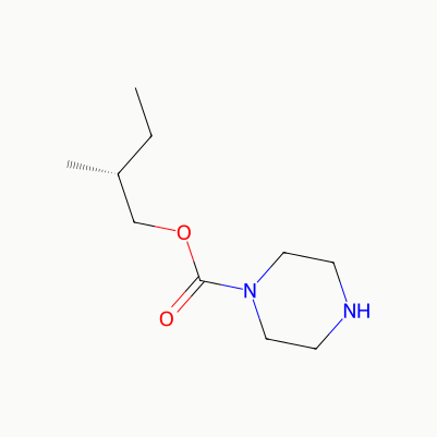 CC[C@@H](C)COC(=O)N1CCNCC1